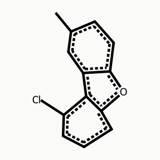 Cc1ccc2oc3cccc(Cl)c3c2c1